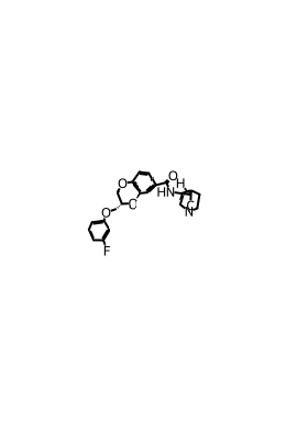 O=C(N[C@H]1CN2CCC1CC2)c1ccc2c(c1)O[C@H](COc1cccc(F)c1)CO2